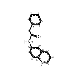 O=C(Cc1ccccc1)Nc1ccc2ncccc2c1